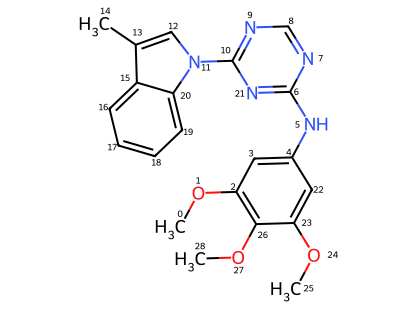 COc1cc(Nc2ncnc(-n3cc(C)c4ccccc43)n2)cc(OC)c1OC